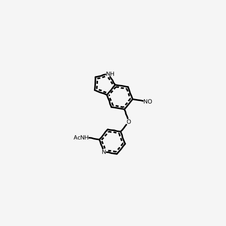 CC(=O)Nc1cc(Oc2cc3cc[nH]c3cc2N=O)ccn1